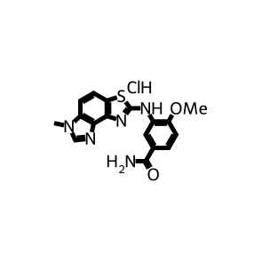 COc1ccc(C(N)=O)cc1Nc1nc2c(ccc3c2ncn3C)s1.Cl